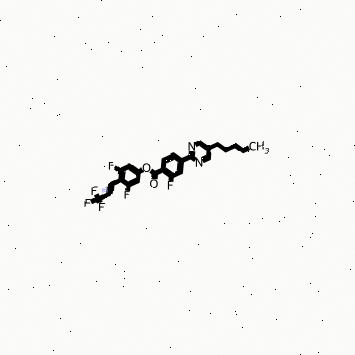 CCCCCc1cnc(-c2ccc(C(=O)Oc3cc(F)c(/C=C/C(F)(F)F)c(F)c3)c(F)c2)nc1